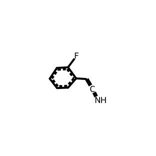 N=C=Cc1ccccc1F